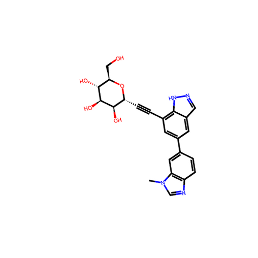 Cn1cnc2ccc(-c3cc(C#C[C@H]4O[C@H](CO)[C@@H](O)[C@H](O)[C@@H]4O)c4[nH]ncc4c3)cc21